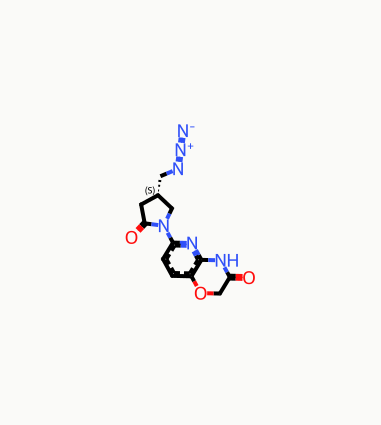 [N-]=[N+]=NC[C@H]1CC(=O)N(c2ccc3c(n2)NC(=O)CO3)C1